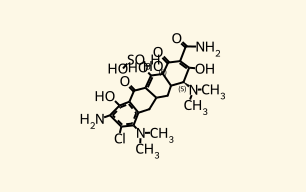 CN(C)c1c(Cl)c(N)c(O)c2c1CC1CC3[C@H](N(C)C)C(O)=C(C(N)=O)C(=O)[C@@]3(O)C(O)=C1C2=O.O=S(=O)(O)O